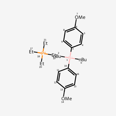 CCCC[B-](CCCC)(c1ccc(OC)cc1)c1ccc(OC)cc1.CC[P+](CC)(CC)CC